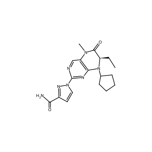 CC[C@@H]1C(=O)N(C)c2cnc(-n3ccc(C(N)=O)n3)nc2N1C1CCCC1